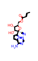 C/C=C/C(=O)OC[C@H]1O[C@@](C#N)(c2ccc3c(N)ncnn23)[C@H](O)[C@@H]1O